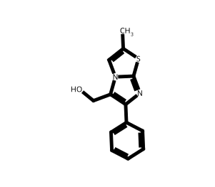 Cc1cn2c(CO)c(-c3ccccc3)nc2s1